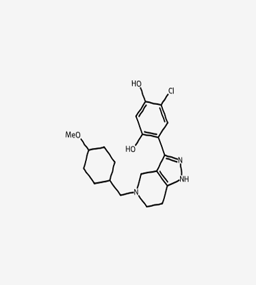 COC1CCC(CN2CCc3[nH]nc(-c4cc(Cl)c(O)cc4O)c3C2)CC1